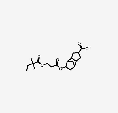 CCC(C)(C)C(=O)OCCC(=O)OC1CC2CC1C1CC(C(=O)O)CC21